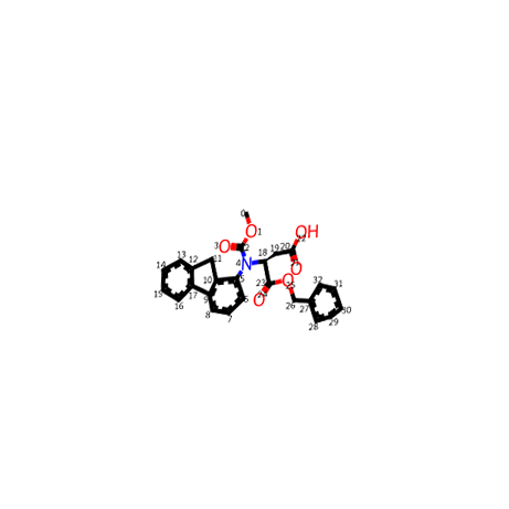 COC(=O)N(c1cccc2c1Cc1ccccc1-2)[C@@H](CC(=O)O)C(=O)OCc1ccccc1